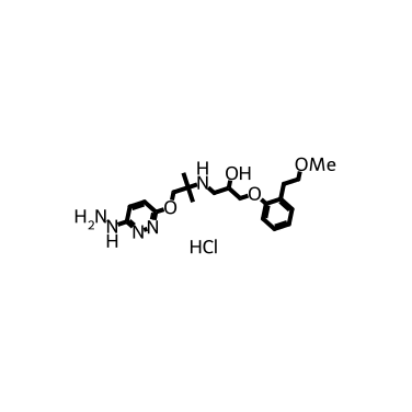 COCCc1ccccc1OCC(O)CNC(C)(C)COc1ccc(NN)nn1.Cl